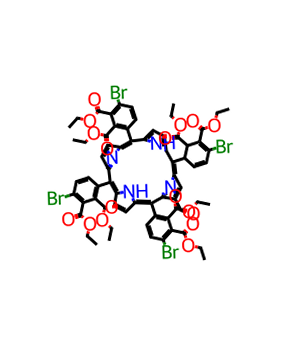 CCOC(=O)C1=C(Br)C=CC(c2c3nc(c(-c4ccc(Br)c(C(=O)OCC)c4C(=O)OCC)c4ccc([nH]4)c(-c4ccc(Br)c(C(=O)OCC)c4C(=O)OCC)c4nc(c(-c5ccc(Br)c(C(=O)OCC)c5C(=O)OCC)c5ccc2[nH]5)C=C4)C(C=O)=C3)C1C(=O)OCC